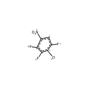 O=[N+]([O-])c1cc(F)c(Cl)c(F)c1F